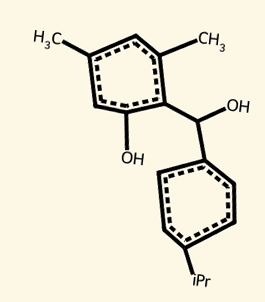 Cc1cc(C)c(C(O)c2ccc(C(C)C)cc2)c(O)c1